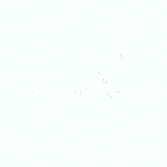 CCn1c(SC2(C(=O)Nc3ccc(C(C)C)cc3)CC2)nnc1-c1cccnc1